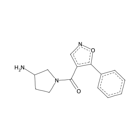 NC1CCN(C(=O)c2cnoc2-c2ccccc2)C1